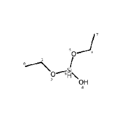 CCO[SiH](O)OCC